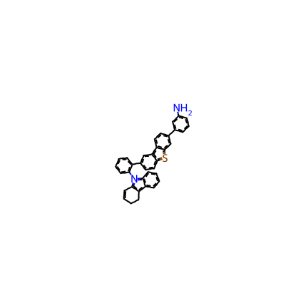 Nc1cccc(-c2ccc3c(c2)sc2ccc(-c4ccccc4-n4c5c(c6ccccc64)CCC=C5)cc23)c1